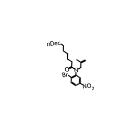 C=C(C)CN(C(=O)CCCCCCCCCCCCCCC)c1cc([N+](=O)[O-])ccc1Br